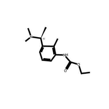 CCOC(=O)Nc1cccc([C@H](C)N(C)C)c1C